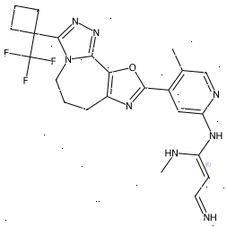 CN/C(=C\C=N)Nc1cc(-c2nc3c(o2)-c2nnc(C4(C(F)(F)F)CCC4)n2CCC3)c(C)cn1